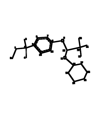 CCC(C)(C)c1ccc(OC(OC2CCCCC2)C(C)(C)C)cc1